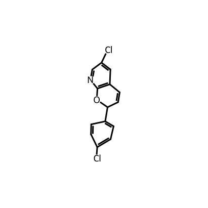 Clc1ccc(C2C=Cc3cc(Cl)cnc3O2)cc1